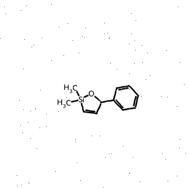 C[Si]1(C)C=CC(c2ccccc2)O1